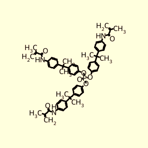 C=C(C)C(=O)Nc1ccc(C(C)(C)c2ccc(OP(=O)(Oc3ccc(C(C)(C)c4ccc(NC(=O)C(=C)C)cc4)cc3)Oc3ccc(C(C)(C)c4ccc(NC(=O)C(=C)C)cc4)cc3)cc2)cc1